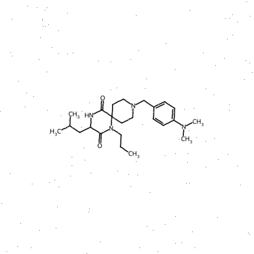 CCCN1C(=O)C(CC(C)C)NC(=O)C12CCN(Cc1ccc(N(C)C)cc1)CC2